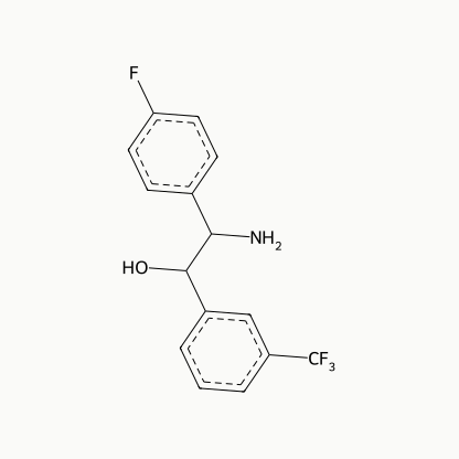 NC(c1ccc(F)cc1)C(O)c1cccc(C(F)(F)F)c1